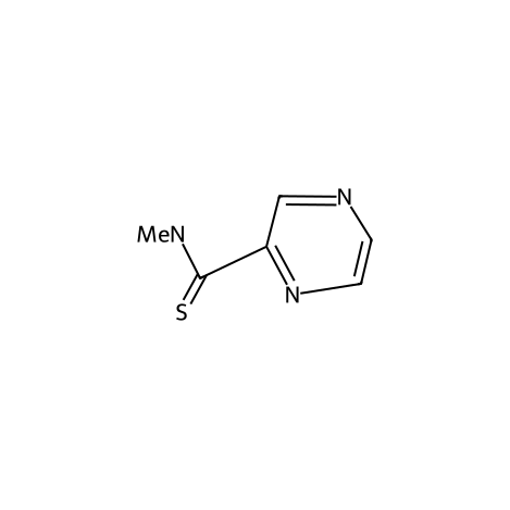 CNC(=S)c1cnccn1